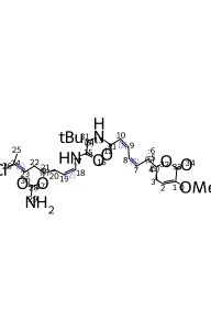 COC1=CC[C@@H]([C@@H](C)/C=C\C=C/C(=O)N[C@H](C(=O)N/C=C\C[C@H](C/C=C(\C)Cl)OC(N)=O)C(C)(C)C)OC1=O